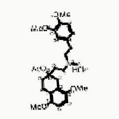 COc1ccc(CCN(C)CCC2(OC(C)=O)CCc3c(OC)ccc(OC)c3C2)cc1OC.Cl